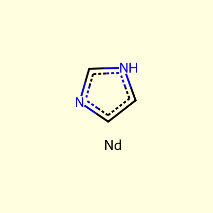 [Nd].c1c[nH]cn1